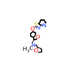 CN(Cc1coc2cc(Oc3nc4ncccc4s3)ccc12)CC1CCCO1